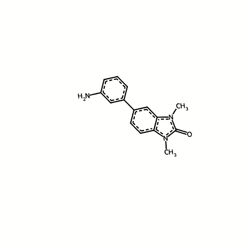 Cn1c(=O)n(C)c2cc(-c3cccc(N)c3)ccc21